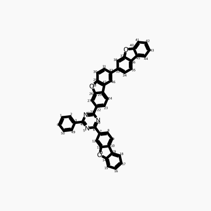 c1ccc(-c2nc(-c3ccc4c(c3)oc3ccccc34)nc(-c3ccc4c(c3)oc3ccc(-c5ccc6c(c5)oc5ccccc56)cc34)n2)cc1